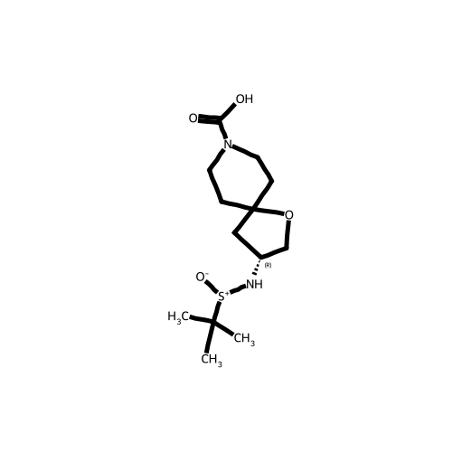 CC(C)(C)[S+]([O-])N[C@H]1COC2(CCN(C(=O)O)CC2)C1